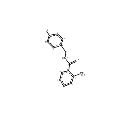 Cc1ccc(CNC(=O)c2cnccc2C(F)(F)F)cc1